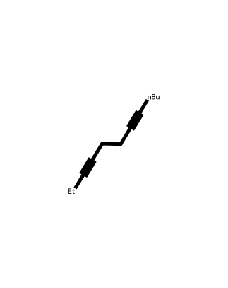 CCC#CCCC#CCCCC